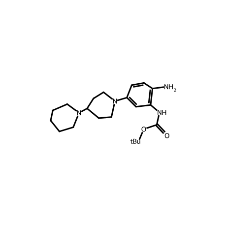 CC(C)(C)OC(=O)Nc1cc(N2CCC(N3CCCCC3)CC2)ccc1N